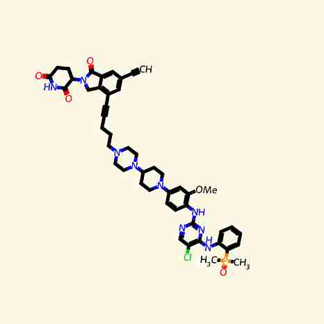 C#Cc1cc(C#CCCCN2CCN(C3CCN(c4ccc(Nc5ncc(Cl)c(Nc6ccccc6P(C)(C)=O)n5)c(OC)c4)CC3)CC2)c2c(c1)C(=O)N(C1CCC(=O)NC1=O)C2